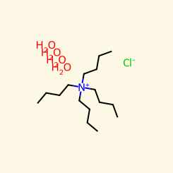 CCCC[N+](CCCC)(CCCC)CCCC.O.O.O.O.[Cl-]